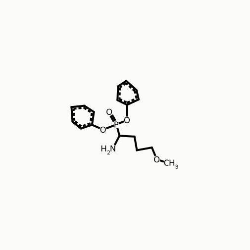 COCCCC(N)P(=O)(Oc1ccccc1)Oc1ccccc1